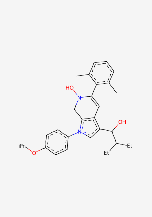 CCC(CC)C(O)c1cn(-c2ccc(OC(C)C)cc2)c2c1C=C(c1c(C)cccc1C)N(O)C2